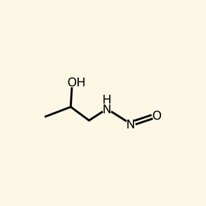 CC(O)CNN=O